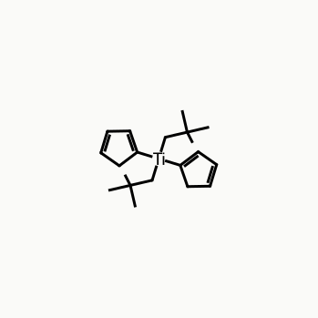 CC(C)(C)[CH2][Ti]([CH2]C(C)(C)C)([C]1=CC=CC1)[C]1=CC=CC1